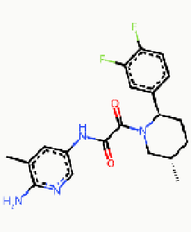 Cc1cc(NC(=O)C(=O)N2C[C@@H](C)CC[C@@H]2c2ccc(F)c(F)c2)cnc1N